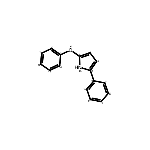 c1ccc(Oc2ccc(-c3ccccc3)[nH]2)cc1